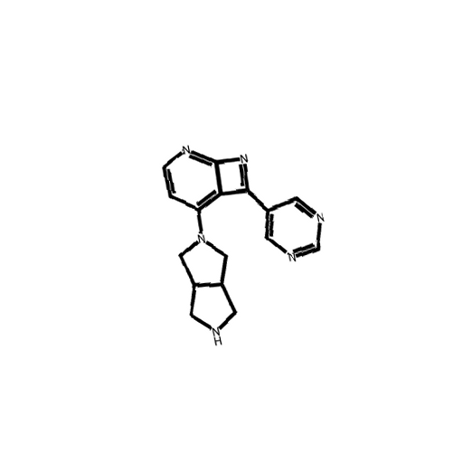 c1ncc(C2=Nc3nccc(N4CC5CNCC5C4)c32)cn1